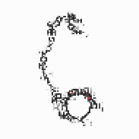 CO[C@H]1C[C@@H]2CC[C@@H](C)[C@@](O)(O2)C(=O)C(=O)N2CCCC[C@H]2C(=O)O[C@H]([C@H](C)C[C@@H]2CC[C@@H](OC(=O)NCCOCCC(=O)NCc3cnc(N4CCN(C(=O)CCOCCN5CCN(c6ncc(C(=O)N7CCc8cc(Cn9nc(-c%10ccc%11oc(N)nc%11c%10)c%10c(N)ncnc%109)ccc8C7)cn6)CC5)CC4)nc3)[C@H](OC)C2)C[C@@H](OC)[C@H](C)/C=C(\C)[C@@H](O)[C@@H](O)C(=O)[C@H](C)C[C@H](C)/C=C/C=C/C=C/1C